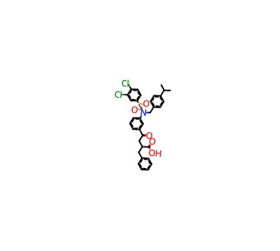 CC(C)c1ccc(CN(c2cccc(C(=O)CC(Cc3ccccc3)C(=O)O)c2)S(=O)(=O)c2ccc(Cl)c(Cl)c2)cc1